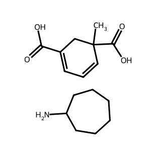 CC1(C(=O)O)C=CC=C(C(=O)O)C1.NC1CCCCCC1